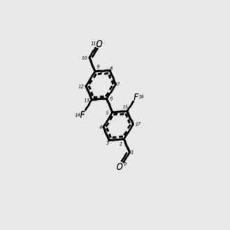 O=Cc1ccc(-c2ccc(C=O)cc2F)c(F)c1